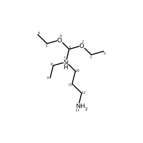 CCOC(OCC)[SiH](CC)CCCN